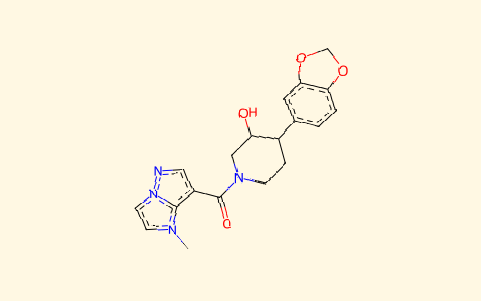 Cn1ccn2ncc(C(=O)N3CCC(c4ccc5c(c4)OCO5)C(O)C3)c12